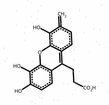 C=c1ccc2c(c1O)Oc1c(ccc(O)c1O)C=2CCC(=O)O